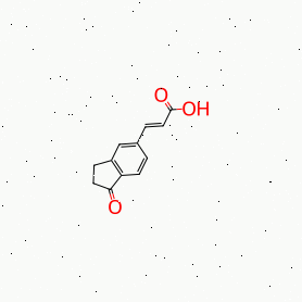 O=C(O)/C=C/c1ccc2c(c1)CCC2=O